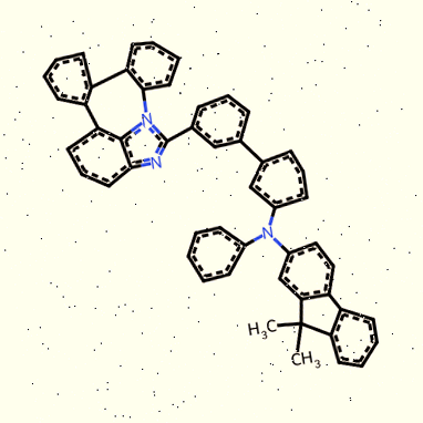 CC1(C)c2ccccc2-c2ccc(N(c3ccccc3)c3cccc(-c4cccc(-c5nc6cccc7c6n5-c5ccccc5-c5ccccc5-7)c4)c3)cc21